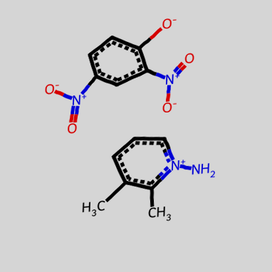 Cc1ccc[n+](N)c1C.O=[N+]([O-])c1ccc([O-])c([N+](=O)[O-])c1